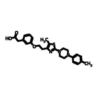 Cc1ccc(N2CCN(c3nc(CCOc4cccc(CC(=O)O)c4)c(C)s3)CC2)cc1